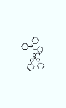 CC1(C)C2CCC1(CP(c1ccccc1)c1ccccc1)C(Op1oc3ccccc3c3ccccc3o1)C2